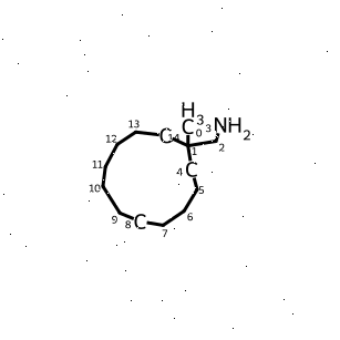 CC1(CN)CCCCCCCCCCC1